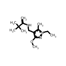 C=C(NCc1c(OC)nn(CC)c1C)C(C)(C)C